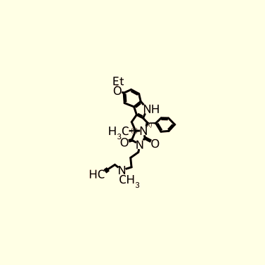 C#CCN(C)CCCN1C(=O)N2[C@H](c3ccccc3)c3[nH]c4ccc(OCC)cc4c3C[C@@]2(C)C1=O